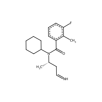 Cc1c(F)cccc1C(=O)N(C1CCCCC1)[C@@H](C)CC=N